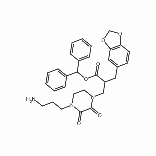 NCCCN1CCN(CC(Cc2ccc3c(c2)OCO3)C(=O)OC(c2ccccc2)c2ccccc2)C(=O)C1=O